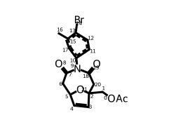 CC(=O)OCC12C=CC(CC(=O)N(c3ccc(Br)c(C)c3)C(=O)C1)O2